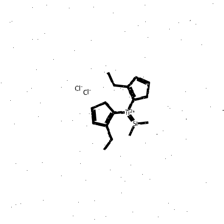 CCC1=[C]([Ti+2]([C]2=C(CC)C=CC2)=[Si](C)C)CC=C1.[Cl-].[Cl-]